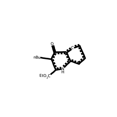 CCCCc1c(C(=O)OCC)[nH]c2ccccc2c1=O